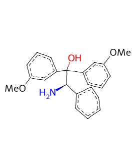 COc1cccc(C(O)(c2cccc(OC)c2)[C@H](N)c2ccccc2)c1